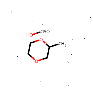 CC1COCCO1.O=CO